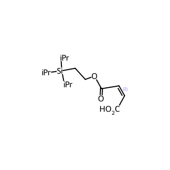 CC(C)[Si](CCOC(=O)/C=C\C(=O)O)(C(C)C)C(C)C